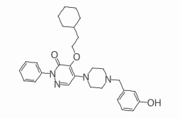 O=c1c(OCCC2CCCCC2)c(N2CCN(Cc3cccc(O)c3)CC2)cnn1-c1ccccc1